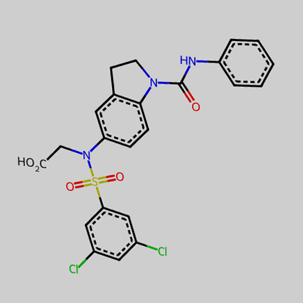 O=C(O)CN(c1ccc2c(c1)CCN2C(=O)Nc1ccccc1)S(=O)(=O)c1cc(Cl)cc(Cl)c1